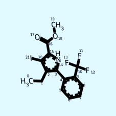 CCc1c(-c2ccccc2C(F)(F)F)[nH]c(C(=O)OC)c1I